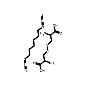 NC(CSSCC(N)C(=O)O)C(=O)O.O=C=NCCCCCCN=C=O